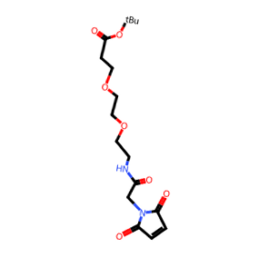 CC(C)(C)OC(=O)CCOCCOCCNC(=O)CN1C(=O)C=CC1=O